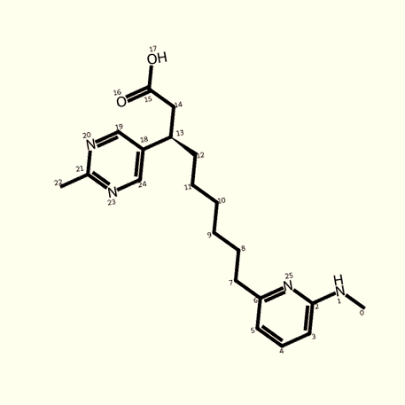 CNc1cccc(CCCCCC[C@H](CC(=O)O)c2cnc(C)nc2)n1